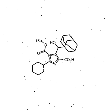 CC(C)(C)OC(=O)n1c(C2CCCCC2)nc(C(=O)O)c1C(O)C12CC3CC(CC(C3)C1)C2